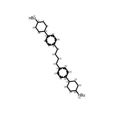 CCCCC1CCC(c2ccc(CCCCc3ccc(C4CCC(CCCC)CC4)cc3)cc2)CC1